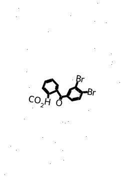 O=C(O)c1ccccc1C(=O)c1ccc(Br)c(Br)c1